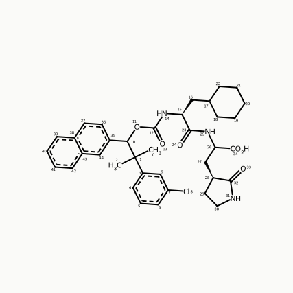 CC(C)(c1cccc(Cl)c1)C(OC(=O)N[C@@H](CC1CCCCC1)C(=O)NC(C[C@@H]1CCNC1=O)C(=O)O)c1ccc2ccccc2c1